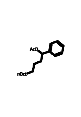 CCCCCCCCCCCC(OC(C)=O)c1ccccc1